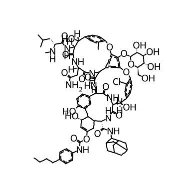 CCCCc1ccc(NC(=O)OC2=C[C@H](O)C3c4cc(ccc4O)[C@H]4NC(=O)C5NC(=O)[C@H](CC(N)=O)NC(=O)[C@H](NC(=O)[C@@H](CC(C)C)NC)[C@H](O)c6ccc(c(C)c6)Oc6cc5cc(c6O[C@@H]5O[C@H](CO)[C@@H](O)[C@H](O)[C@H]5O)Oc5ccc(cc5Cl)[C@@H](O)[C@H](NC4=O)C(=O)N[C@H](C(=O)NC4C5CC6CC(C5)CC4C6)C3C2)cc1